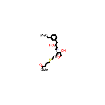 COCc1cccc(C[C@H](O)/C=C/[C@@H]2[C@@H](O)CO[C@@H]2CCSCCCC(=O)OC)c1